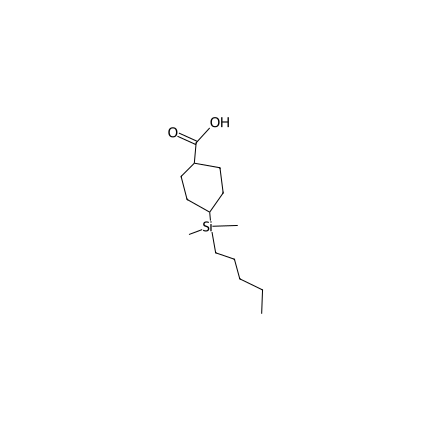 CCCCC[Si](C)(C)C1CCC(C(=O)O)CC1